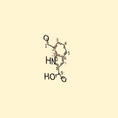 O=Cc1cccc2cc(C(=O)O)[nH]c12